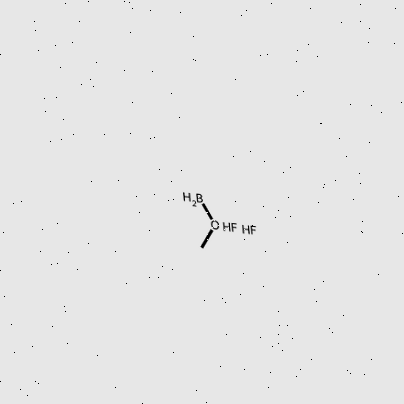 BOC.F.F